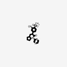 CS(=O)(=O)c1ccc(C(CC2CCCC2)C(=O)Nc2cnccn2)cc1N=O